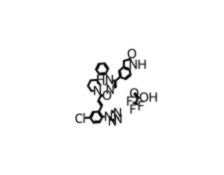 O=C(O)C(F)(F)F.O=C1Cc2cc(-c3cnc([C@H]4[C@@H](c5ccccc5)CCCN4C(=O)C=Cc4cc(Cl)ccc4-n4cnnn4)[nH]3)ccc2N1